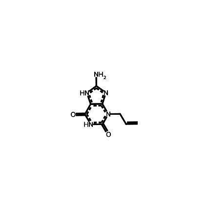 C=CCn1c(=O)[nH]c(=O)c2[nH]c(N)nc21